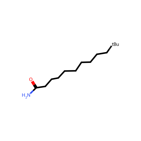 CC(C)(C)CCCCCCCCCC(N)=O